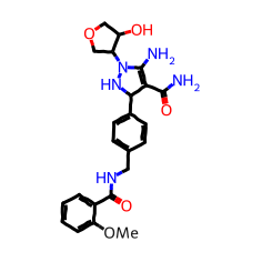 COc1ccccc1C(=O)NCc1ccc(C2NN(C3COCC3O)C(N)=C2C(N)=O)cc1